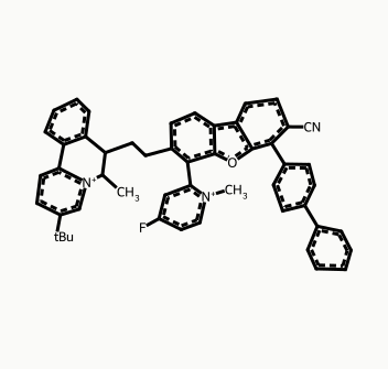 CC1C(CCc2ccc3c(oc4c(-c5ccc(-c6ccccc6)cc5)c(C#N)ccc43)c2-c2cc(F)cc[n+]2C)c2ccccc2-c2ccc(C(C)(C)C)c[n+]21